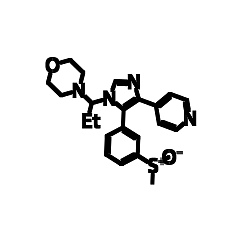 CCC(N1CCOCC1)n1cnc(-c2ccncc2)c1-c1cccc([S+](C)[O-])c1